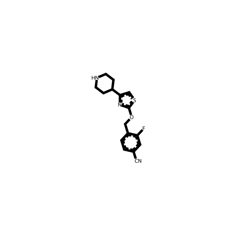 N#Cc1ccc(COc2nc(C3CCNCC3)cs2)c(F)c1